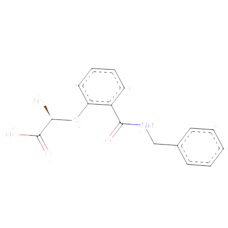 O=C(NCc1ccccc1)c1ccccc1[Se][C@H](S)C(=O)O